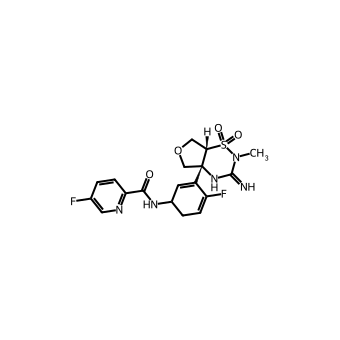 CN1C(=N)N[C@]2(C3=CC(NC(=O)c4ccc(F)cn4)CC=C3F)COC[C@@H]2S1(=O)=O